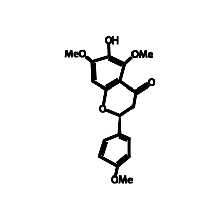 COc1ccc([C@@H]2CC(=O)c3c(cc(OC)c(O)c3OC)O2)cc1